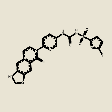 O=C(Nc1ccc(-n2ccc3cc4c(cc3c2=O)SCN4)nc1)NS(=O)(=O)c1ccc(F)s1